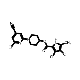 Cc1[nH]c(C(=O)OC2CCN(c3cc(C#N)cc(Cl)n3)CC2)c(Cl)c1Cl